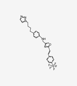 FS(F)(F)(F)(F)c1ccc(C=Cc2nc(CNc3ccc(CCCCn4ccnn4)cc3)co2)cc1